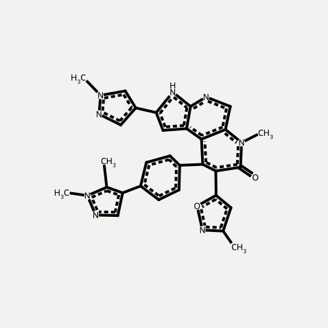 Cc1cc(-c2c(-c3ccc(-c4cnn(C)c4C)cc3)c3c4cc(-c5cnn(C)c5)[nH]c4ncc3n(C)c2=O)on1